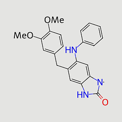 COc1ccc(Cc2cc3c(cc2Nc2ccccc2)[N]C(=O)N3)cc1OC